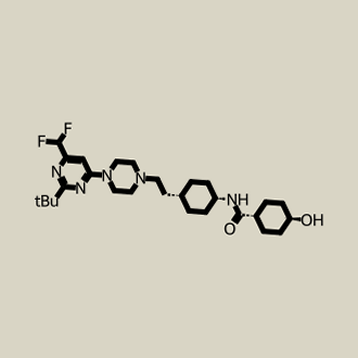 CC(C)(C)c1nc(C(F)F)cc(N2CCN(CC[C@H]3CC[C@@H](NC(=O)[C@H]4CC[C@H](O)CC4)CC3)CC2)n1